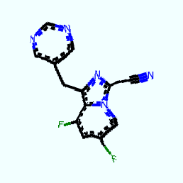 N#Cc1nc(Cc2cncnc2)c2c(F)cc(F)cn12